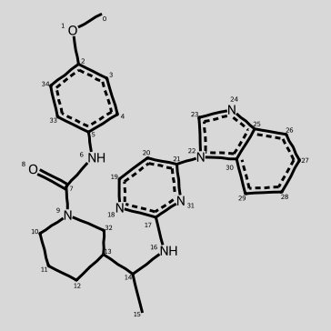 COc1ccc(NC(=O)N2CCCC(C(C)Nc3nccc(-n4cnc5ccccc54)n3)C2)cc1